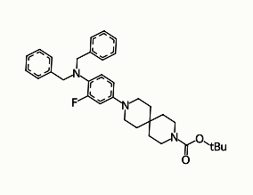 CC(C)(C)OC(=O)N1CCC2(CC1)CCN(c1ccc(N(Cc3ccccc3)Cc3ccccc3)c(F)c1)CC2